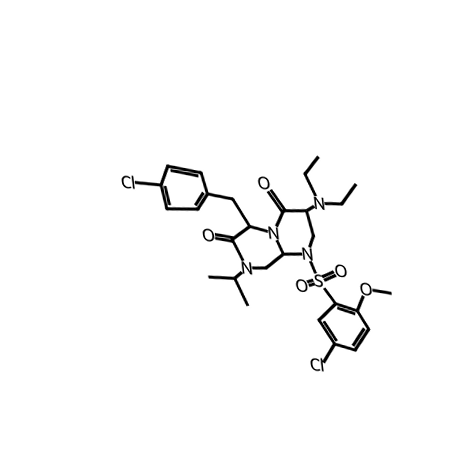 CCN(CC)C1CN(S(=O)(=O)c2cc(Cl)ccc2OC)C2CN(C(C)C)C(=O)C(Cc3ccc(Cl)cc3)N2C1=O